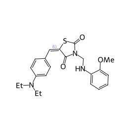 CCN(CC)c1ccc(/C=C2/SC(=O)N(CNc3ccccc3OC)C2=O)cc1